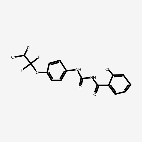 O=C(NC(=O)c1ccccc1Cl)Nc1ccc(OC(F)(F)C(Cl)Cl)cc1